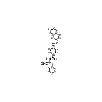 O=CC(Cc1ccccc1)NC(=O)c1ccc(OCc2ccc3ccccc3c2)cc1